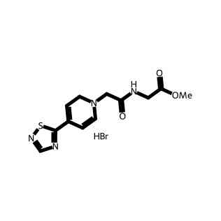 Br.COC(=O)CNC(=O)CN1C=CC(c2ncns2)=CC1